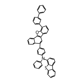 c1ccc(-c2cccc(-c3cccc4c3oc3c5ccccc5c(-c5ccc(N(c6ccccc6)c6cccc7c6sc6ccccc67)cc5)cc43)c2)cc1